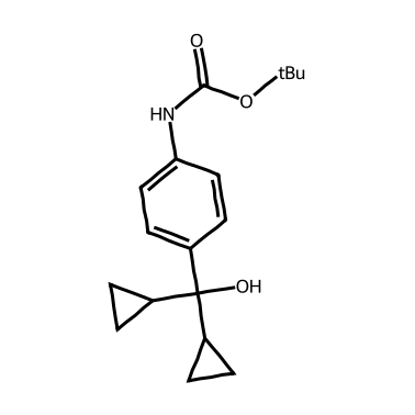 CC(C)(C)OC(=O)Nc1ccc(C(O)(C2CC2)C2CC2)cc1